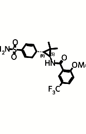 COc1ccc(C(F)(F)F)cc1C(=O)N[C@H]1[C@H](C2C=CC(S(N)(=O)=O)=CC2)C1(C)C